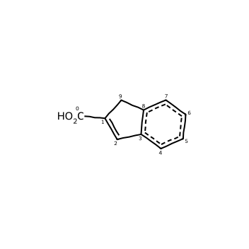 O=C(O)C1=Cc2ccccc2C1